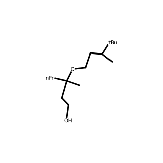 CCCC(C)(CCO)OCCC(C)C(C)(C)C